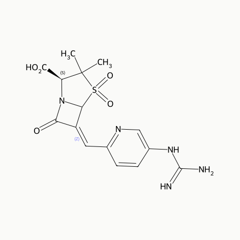 CC1(C)[C@H](C(=O)O)N2C(=O)/C(=C/c3ccc(NC(=N)N)cn3)C2S1(=O)=O